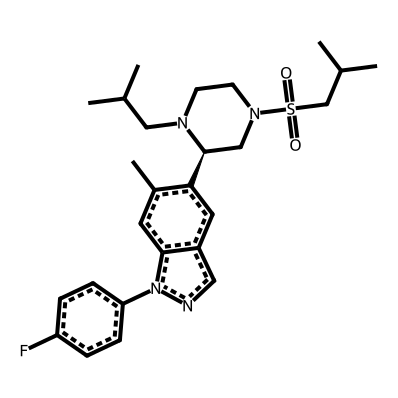 Cc1cc2c(cnn2-c2ccc(F)cc2)cc1[C@@H]1CN(S(=O)(=O)CC(C)C)CCN1CC(C)C